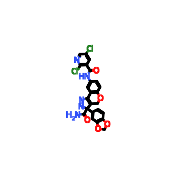 NC(=O)C1(c2ccc3c(c2)OCO3)N=NC2=C1COc1ccc(NC(=O)c3cc(Cl)cnc3Cl)cc12